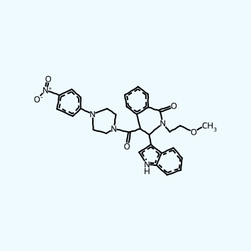 COCCN1C(=O)c2ccccc2C(C(=O)N2CCN(c3ccc([N+](=O)[O-])cc3)CC2)C1c1c[nH]c2ccccc12